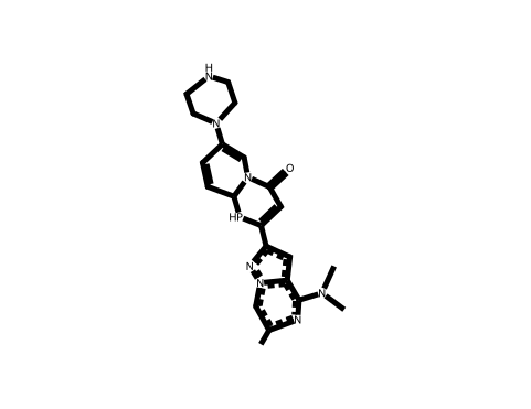 Cc1cn2nc(C3=CC(=O)N4C=C(N5CCNCC5)C=CC4P3)cc2c(N(C)C)n1